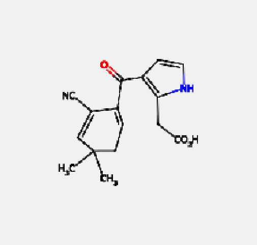 CC1(C)C=C(C#N)C(C(=O)c2cc[nH]c2CC(=O)O)=CC1